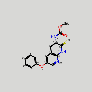 CC(C)(C)OC(=O)N[C@H]1Cc2cc(Oc3ccccc3)cnc2NC1=S